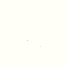 CC(C)(C)OC(=O)N1CC(C)(C)c2[nH]c(=O)c(Cc3ccc(F)cc3F)cc21